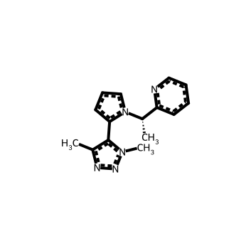 Cc1nnn(C)c1-c1cccn1[C@@H](C)c1ccccn1